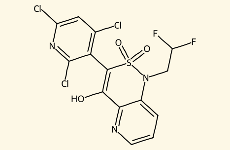 O=S1(=O)C(c2c(Cl)cc(Cl)nc2Cl)=C(O)c2ncccc2N1CC(F)F